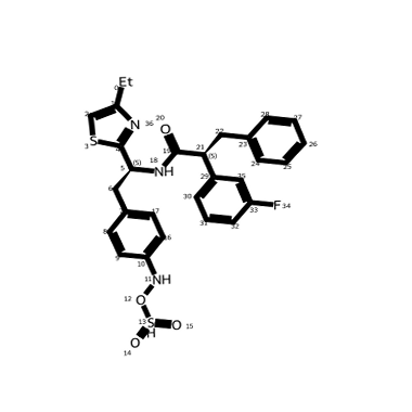 CCc1csc([C@H](Cc2ccc(NO[SH](=O)=O)cc2)NC(=O)[C@@H](Cc2ccccc2)c2cccc(F)c2)n1